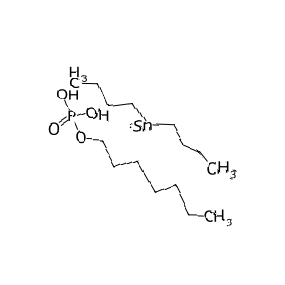 CCCCCCCOP(=O)(O)O.CCC[CH2][Sn][CH2]CCC